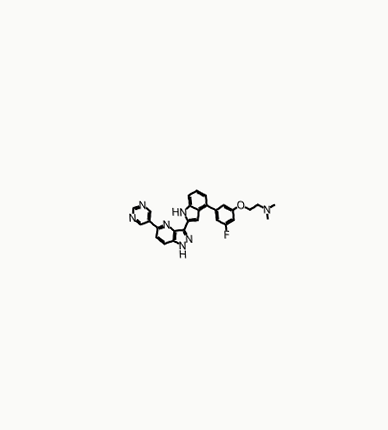 CN(C)CCOc1cc(F)cc(-c2cccc3[nH]c(-c4n[nH]c5ccc(-c6cncnc6)nc45)cc23)c1